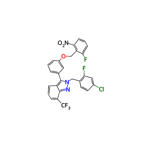 O=[N+]([O-])c1cccc(F)c1COc1cccc(-c2c3cccc(C(F)(F)F)c3nn2Cc2ccc(Cl)cc2F)c1